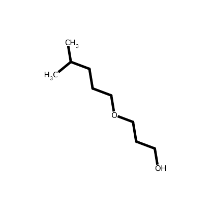 CC(C)CCCOCCCO